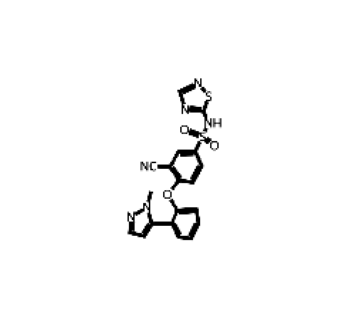 Cn1nccc1-c1ccccc1Oc1ccc(S(=O)(=O)Nc2ncns2)cc1C#N